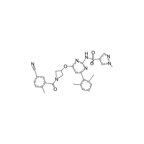 Cc1ccc(C#N)cc1C(=O)N1CC(Oc2cc(-c3c(C)cccc3C)nc(NS(=O)(=O)c3cnn(C)c3)n2)C1